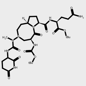 CN(C(=O)NC1CCC(=O)NC1=O)N1CC[C@H]2CC[C@@H](C(=O)N[C@@H](CCC(N)=O)C(=O)OC(C)(C)C)N2C(=O)[C@@H](NC(=O)OC(C)(C)C)C1